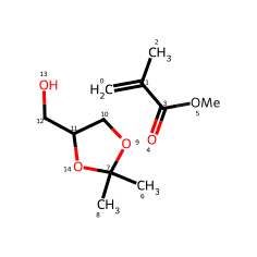 C=C(C)C(=O)OC.CC1(C)OCC(CO)O1